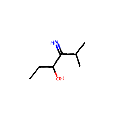 CCC(O)C(=N)C(C)C